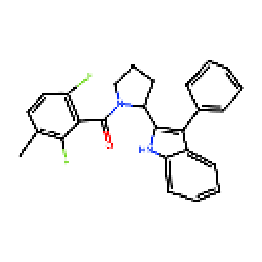 Cc1ccc(F)c(C(=O)N2CCCC2c2[nH]c3ccccc3c2-c2ccccc2)c1F